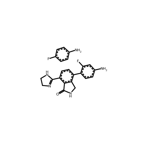 Nc1ccc(-c2ccc(C3=NCCN3)c3c2CNC3=O)c(F)c1.Nc1ccc(F)cc1